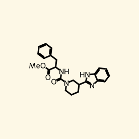 COC(=O)C(Cc1ccccc1)NC(=O)N1CCCC(c2nc3ccccc3[nH]2)C1